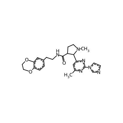 Cc1cc(C2C(C(=O)NCCc3ccc4c(c3)OCCO4)CCN2C)nc(-n2ccnc2)n1